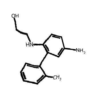 Cc1ccccc1-c1cc(N)ccc1NCCO